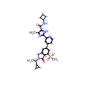 Cc1nc(-c2cc(-c3cc4c(c(S(C)(=O)=O)c3)C(=O)N(C(C)C3CC3)C4)ccn2)[nH]c1C(=O)NC1CCC1